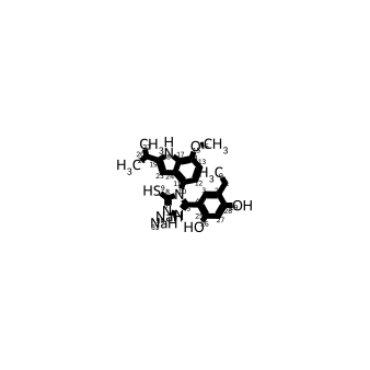 CCc1cc(-c2nnc(S)n2-c2ccc(OC)c3[nH]c(C(C)C)cc23)c(O)cc1O.[NaH].[NaH]